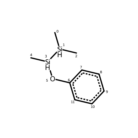 C[SiH](C)[SiH](C)Oc1ccccc1